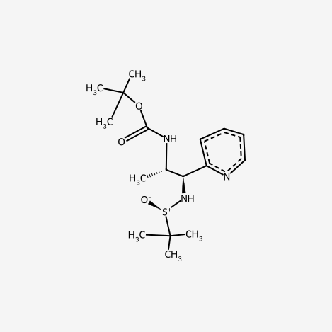 C[C@H](NC(=O)OC(C)(C)C)[C@H](N[S@+]([O-])C(C)(C)C)c1ccccn1